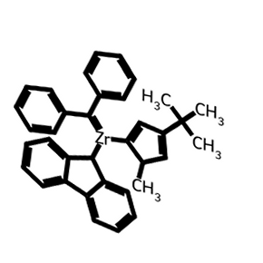 CC1C=C(C(C)(C)C)C=[C]1[Zr](=[C](c1ccccc1)c1ccccc1)[CH]1c2ccccc2-c2ccccc21